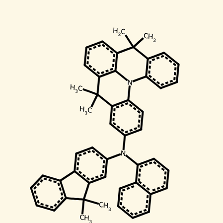 CC1(C)c2ccccc2-c2ccc(N(c3ccc4c(c3)C(C)(C)c3cccc5c3N4c3ccccc3C5(C)C)c3cccc4ccccc34)cc21